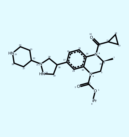 CC(C)OC(=O)N1C[C@H](C)N(C(=O)C2CC2)c2ccc(C3CNN(C4CCNCC4)C3)cc21